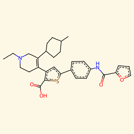 CCN1CCC(c2cc(-c3ccc(NC(=O)c4ccco4)cc3)sc2C(=O)O)=C(C2CCC(C)CC2)C1